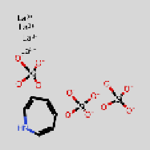 C1=CC=CNC=C1.[La+3].[La+3].[La+3].[La+3].[O-][Si]([O-])([O-])[O-].[O-][Si]([O-])([O-])[O-].[O-][Si]([O-])([O-])[O-]